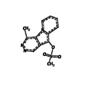 Cc1nncc2c(OS(C)(=O)=O)c3ccccn3c12